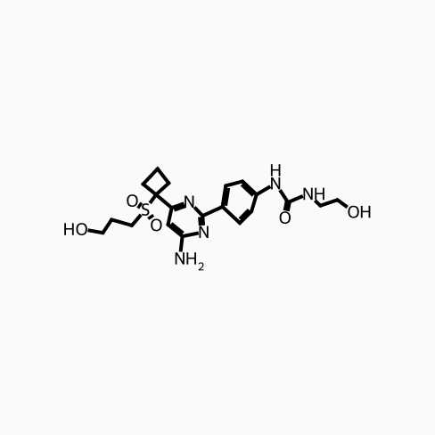 Nc1cc(C2(S(=O)(=O)CCCO)CCC2)nc(-c2ccc(NC(=O)NCCO)cc2)n1